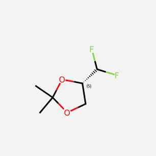 CC1(C)OC[C@@H](C(F)F)O1